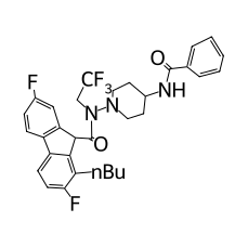 CCCCc1c(F)ccc2c1C(C(=O)N(CC(F)(F)F)N1CCC(NC(=O)c3ccccc3)CC1)c1cc(F)ccc1-2